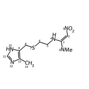 CN/C(=C/[N+](=O)[O-])NCCSCc1[nH]cnc1C